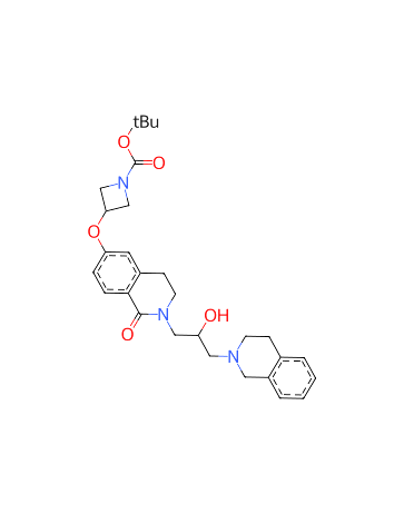 CC(C)(C)OC(=O)N1CC(Oc2ccc3c(c2)CCN(CC(O)CN2CCc4ccccc4C2)C3=O)C1